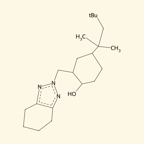 CC(C)(C)CC(C)(C)C1CCC(O)C(Cn2nc3c(n2)CCCC3)C1